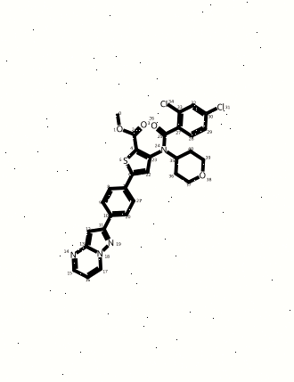 COC(=O)c1sc(-c2ccc(-c3cc4ncccn4n3)cc2)cc1N(C(=O)c1ccc(Cl)cc1Cl)C1CCOCC1